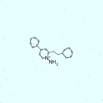 N[n+]1ccc(-c2ccccc2)cc1[CH]Cc1ccccc1